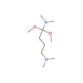 COC(CCCN(C)C)(OC)N(C)C